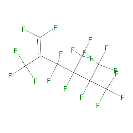 FC(F)=C(C(F)(F)F)C(F)(F)C(F)(C(F)(F)F)C(F)(C(F)(F)F)C(F)(F)F